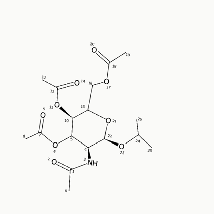 CC(=O)N[C@H]1C(OC(C)=O)[C@@H](OC(C)=O)C(COC(C)=O)O[C@H]1OC(C)C